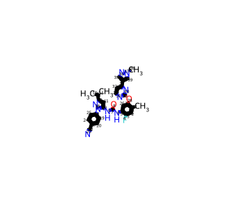 Cc1cc(F)c(NC(=O)Nc2cc(C(C)C)nn2-c2ccc(C#N)cc2)cc1Oc1nccc(-c2cnn(C)c2)n1